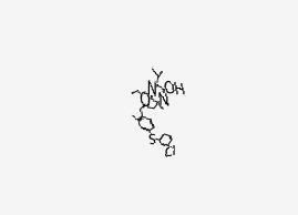 CCOC1=N[C@@H](C(C)C)C(O)=N[C@]1(C)CCCc1ccc(Sc2cccc(Cl)c2)cc1C